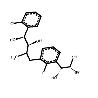 CC(C)[C@@H](O)[C@H](O)c1cccc(CC(C)[C@H](O)[C@@H](O)c2ccccc2Cl)c1Cl